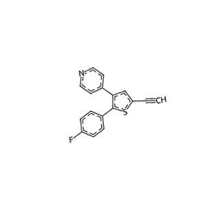 C#Cc1cc(-c2ccncc2)c(-c2ccc(F)cc2)s1